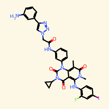 Cc1c(=O)n(C)c(Nc2ccc(I)cc2F)c2c(=O)n(C3CC3)c(=O)n(-c3cccc(NC(=O)Cn4cc(-c5cccc(N)c5)nn4)c3)c12